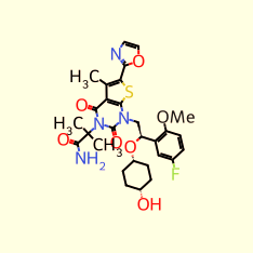 COc1ccc(F)cc1[C@H](Cn1c(=O)n(C(C)(C)C(N)=O)c(=O)c2c(C)c(-c3ncco3)sc21)O[C@H]1CC[C@@H](O)CC1